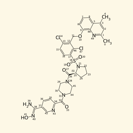 Cc1cc(C)c2cccc(OCc3c(Cl)ccc(S(=O)(=O)N4CCC[C@H]4C(=O)N4CCN(C(=O)c5ccc(C(N)=NO)cn5)CC4)c3Cl)c2n1